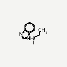 CCCI.c1ccc2[nH]cnc2c1